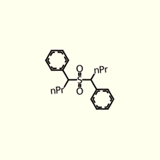 CCCC(c1ccccc1)S(=O)(=O)C(CCC)c1ccccc1